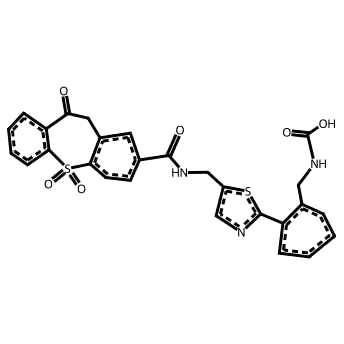 O=C(O)NCc1ccccc1-c1ncc(CNC(=O)c2ccc3c(c2)CC(=O)c2ccccc2S3(=O)=O)s1